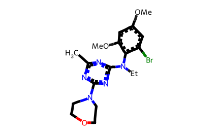 CCN(c1nc(C)nc(N2CCOCC2)n1)c1c(Br)cc(OC)cc1OC